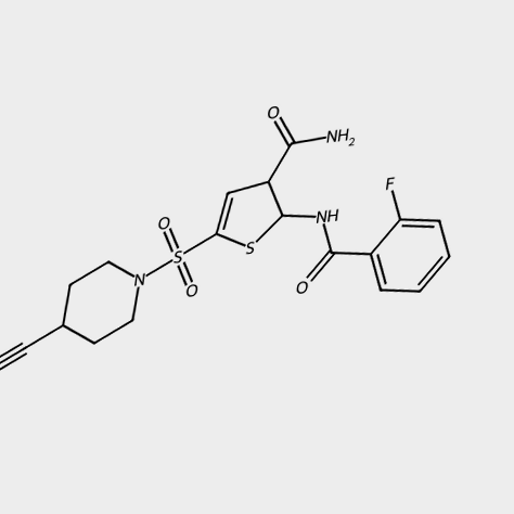 N#CC1CCN(S(=O)(=O)C2=CC(C(N)=O)C(NC(=O)c3ccccc3F)S2)CC1